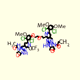 C=CC(=O)N[C@H]1COC[C@H]1Nc1ncc2cc(-c3c(Cl)c(OC)cc(OC)c3Cl)nc(CCOCCOc3cc(OC)c(Cl)c(-c4cc5cnc(N[C@@H]6COC[C@@H]6NC(=O)C=C)nc5c(CC(F)(F)F)n4)c3Cl)c2n1